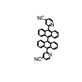 N#Cc1ccnc(-c2c3ccccc3c(-c3c4ccccc4c(-c4cc(C#N)ccn4)c4ccccc34)c3ccccc23)c1